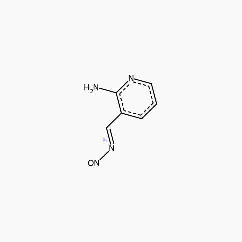 Nc1ncccc1/C=N/N=O